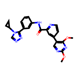 COc1ncc(-c2ccnc(C(=O)Nc3cccc(-c4nncn4C4CC4)c3)c2)c(OC)n1